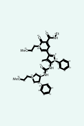 CCNC(=O)c1cc(-c2nn(-c3ccccc3)c(NC(=O)N[C@@H]3CN(CCOC)C[C@H]3c3ccccc3)c2C)cn(CCOC)c1=O